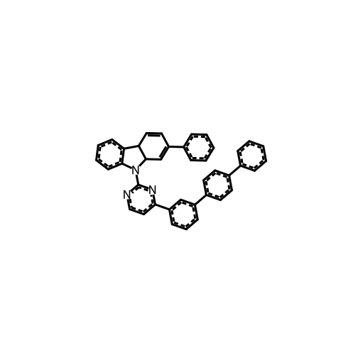 C1=CC2c3ccccc3N(c3nccc(-c4cccc(-c5ccc(-c6ccccc6)cc5)c4)n3)C2C=C1c1ccccc1